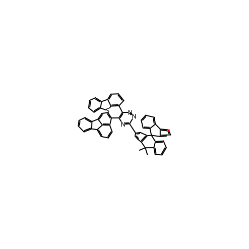 CC1(C)c2ccccc2C2(c3ccccc3-c3ccccc32)c2cc(-c3nnc(-c4cccc5c4sc4ccccc45)c(-c4ccc5c6c(cccc46)-c4ccccc4-5)n3)ccc21